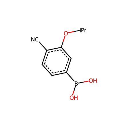 CC(C)Oc1cc(B(O)O)ccc1C#N